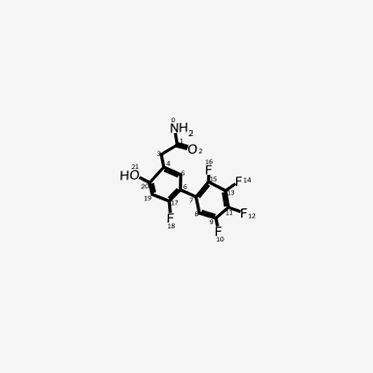 NC(=O)Cc1cc(-c2cc(F)c(F)c(F)c2F)c(F)cc1O